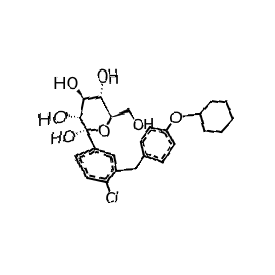 OC[C@H]1O[C@@](O)(c2ccc(Cl)c(Cc3ccc(OC4CCCCC4)cc3)c2)[C@H](O)[C@@H](O)[C@@H]1O